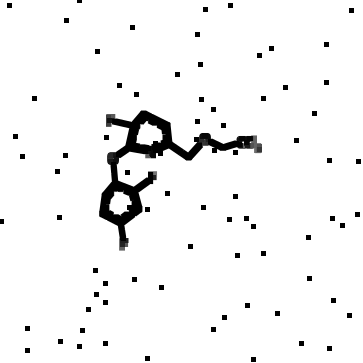 Fc1ccc(Oc2nc(COCC(Cl)(Cl)Cl)ccc2F)c(F)c1